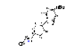 CCCCc1cnc(C2CCC(/C=C/Cl)CC2)nc1